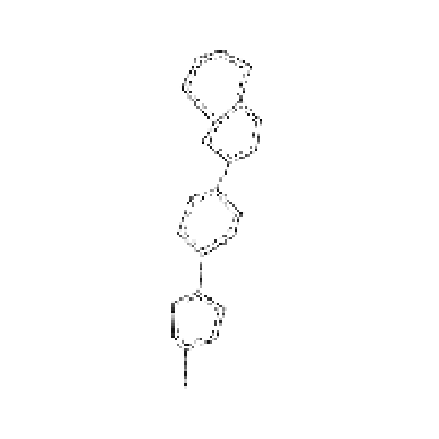 Ic1ccc(-c2ccc(-c3ccc4ccccc4c3)cc2)cc1